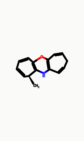 C[C@H]1C=CC=CC2=C1NC1=C(C=CCC=C1)O2